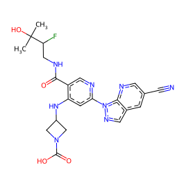 CC(C)(O)C(F)CNC(=O)c1cnc(-n2ncc3cc(C#N)cnc32)cc1NC1CN(C(=O)O)C1